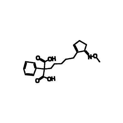 CO/N=C1\CCC=C1CCCCCC(C(=O)O)(C(=O)O)c1ccccc1